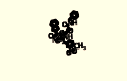 Cc1ccc(C[C@@H](NC(=O)C2O[C@@H]2C(=O)NCc2ccccc2)C(=O)N[C@@H](C(N)=O)C2Cc3ccccc3C2)cc1[N+](=O)[O-]